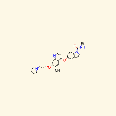 CCNC(=O)n1ccc2cc(Oc3ccnc4cc(OCCCN5CCCC5)c(C#N)cc34)ccc21